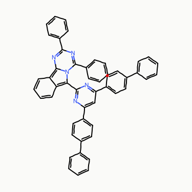 c1ccc(-c2ccc(-c3cc(-c4ccc(-c5ccccc5)cc4)nc(-c4c5ccccc5c5nc(-c6ccccc6)nc(-c6ccccc6)n45)n3)cc2)cc1